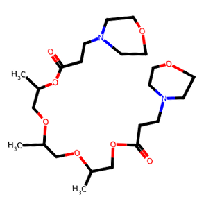 CC(COC(=O)CCN1CCOCC1)OCC(C)OCC(C)OC(=O)CCN1CCOCC1